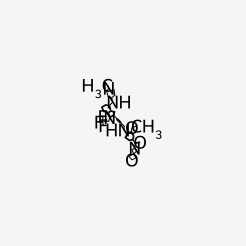 COc1cc(C(=O)N2CC3(COC3)C2)ccc1NCC#Cc1cc2c(NC3CCN(C)CC3)cccc2n1CC(F)(F)F